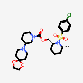 C[C@@H]1CCC[C@H](COC(=O)N2CCCC(N3CCC4(CC3)OCCO4)C2)N1S(=O)(=O)c1ccc(Cl)cc1